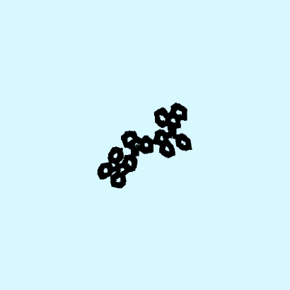 c1ccc(N(c2ccc(-c3ccc4c(c3)c3ccccc3n4-c3ccc4c(c3)C(c3ccccc3)(c3ccccc3)c3ccccc3-4)c3ccccc23)c2cc3ccccc3c3ccccc23)cc1